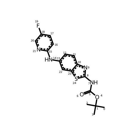 CC(C)(C)OC(=O)Nc1nc2ccc(Nc3ccc(F)cn3)cc2s1